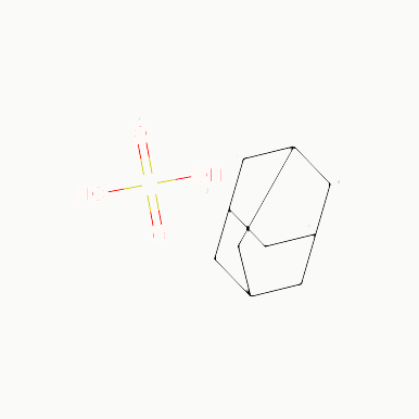 C1C2CC3CC1CC(C2)C3.O=S(=O)(O)O